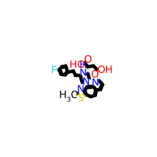 Cc1nc2c(s1)CC=c1cccnc1=C2N1CCNC(CCc2ccc(F)cc2)C1.O=C(O)CCC(=O)O